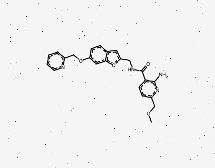 COCc1ccc(C(=O)NCc2cc3ccc(OCc4ccccn4)cc3o2)c(N)n1